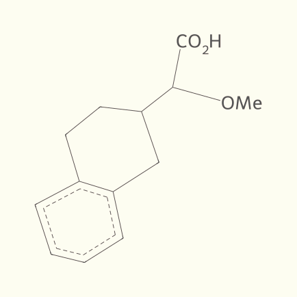 COC(C(=O)O)C1CCc2ccccc2C1